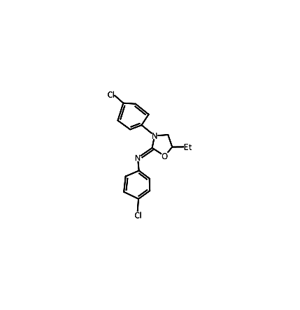 CCC1CN(c2ccc(Cl)cc2)C(=Nc2ccc(Cl)cc2)O1